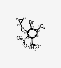 COc1cc(C(N)=O)c([N+](=O)[O-])c(OC2CC2)c1Br